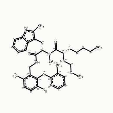 Cc1[nH]c2ccccc2c1C[C@@H](C(=O)NCc1c(C(F)(F)F)ccc(Cl)c1Sc1ncccc1N)N(C)C(=O)[C@H](CCCCN)NCON